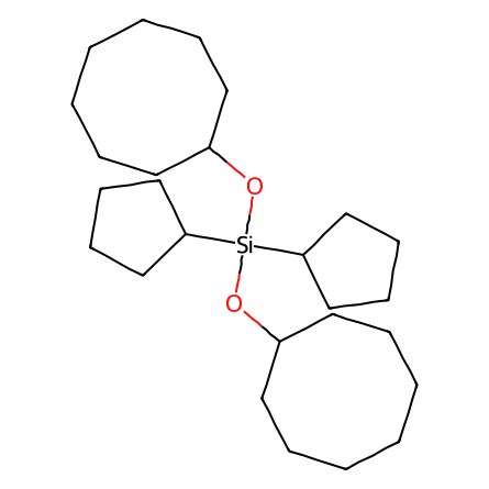 C1CCCC(O[Si](OC2CCCCCCC2)(C2CCCC2)C2CCCC2)CCC1